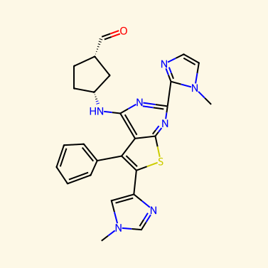 Cn1cnc(-c2sc3nc(-c4nccn4C)nc(N[C@@H]4CC[C@H](C=O)C4)c3c2-c2ccccc2)c1